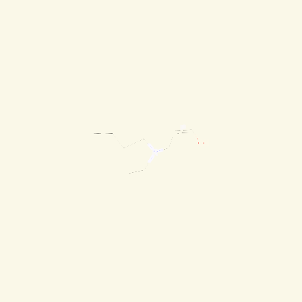 CCCCN(CC)C/C=C\O